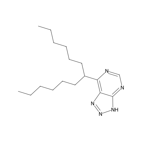 CCCCCCC(CCCCCC)c1ncnc2[nH]nnc12